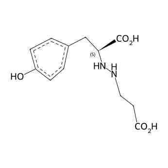 O=C(O)CCNN[C@@H](Cc1ccc(O)cc1)C(=O)O